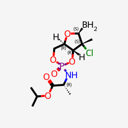 B[C@@H]1O[C@@H]2COP(=O)(N[C@H](C)C(=O)OC(C)C)O[C@H]2[C@@]1(C)Cl